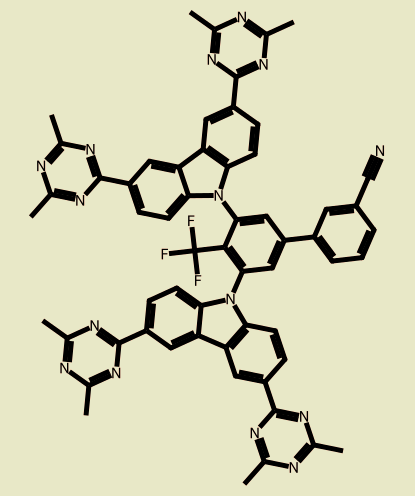 Cc1nc(C)nc(-c2ccc3c(c2)c2cc(-c4nc(C)nc(C)n4)ccc2n3-c2cc(-c3cccc(C#N)c3)cc(-n3c4ccc(-c5nc(C)nc(C)n5)cc4c4cc(-c5nc(C)nc(C)n5)ccc43)c2C(F)(F)F)n1